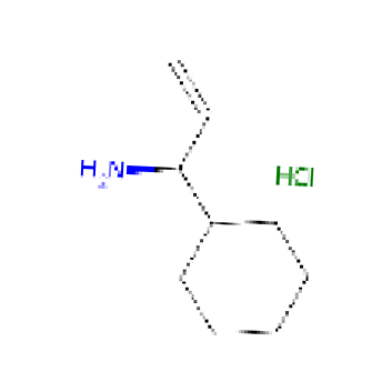 C=C[C@H](N)C1CCCCC1.Cl